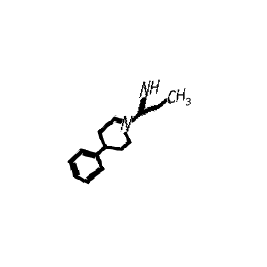 CCC(=N)N1CCC(c2ccccc2)CC1